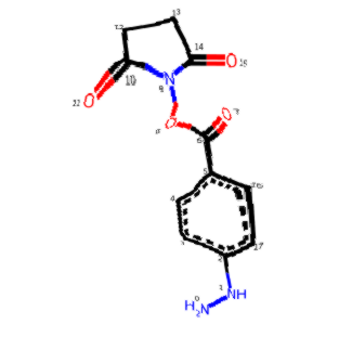 NNc1ccc(C(=O)ON2C(=O)CCC2=O)cc1